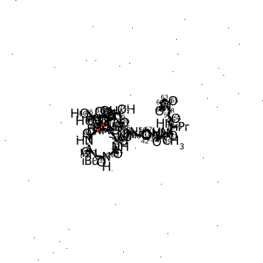 CC[C@H](C)[C@@H]1NC(=O)CNC(=O)[C@@H]2Cc3c([nH]c4cc(O)ccc34)[S@+]([O-])CC(NC(=O)CNC1=O)C(=O)N[C@@H](CC(=O)NCc1ccc(NC(=O)[C@H](C)NC(=O)C(NC(=O)CCN3C(=O)C=CC3=O)C(C)C)cc1)C(=O)N1C[C@H](O)C[C@H]1C(=O)N[C@@H]([C@@H](C)[C@@H](O)CO)C(=O)N2